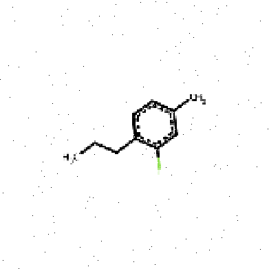 CCCc1ccc(C)cc1F